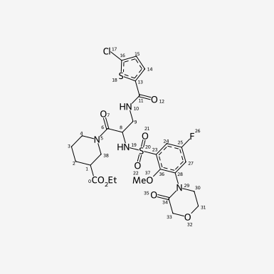 CCOC(=O)C1CCCN(C(=O)C(CNC(=O)c2ccc(Cl)s2)NS(=O)(=O)c2cc(F)cc(N3CCOCC3=O)c2OC)C1